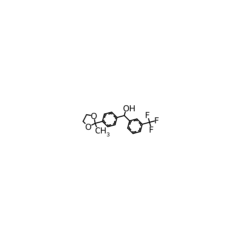 CC1(c2ccc(C(O)c3cccc(C(F)(F)F)c3)cc2)OCCO1